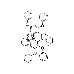 c1ccc(Oc2cc(Oc3ccccc3)c(-c3sc4ccsc4c3-c3c(Oc4ccccc4)c(Oc4ccccc4)cc4nsnc34)c(Oc3ccccc3)c2)cc1